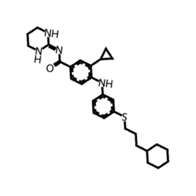 O=C(N=C1NCCCN1)c1ccc(Nc2cccc(SCCCC3CCCCC3)c2)c(C2CC2)c1